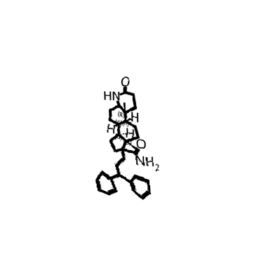 C[C@]12CCC(=O)NC1CC[C@@H]1[C@H]2CC[C@@]2(C)[C@H]1CCC2(CCC(c1ccccc1)c1ccccc1)C(N)=O